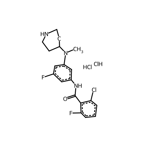 CN(c1cc(F)cc(NC(=O)c2c(F)cccc2Cl)c1)C1CCNCC1.Cl.Cl